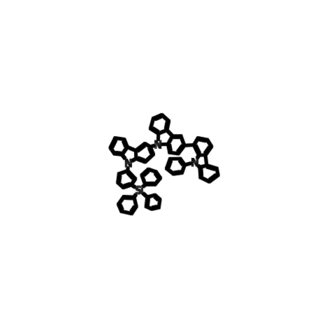 c1ccc(-n2c3ccccc3c3cccc(-c4ccc5c(c4)c4ccccc4n5-c4ccc5c(c4)c4ccccc4n5-c4cccc([Si](c5ccccc5)(c5ccccc5)c5ccccc5)c4)c32)cc1